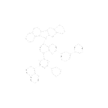 c1ccc(-c2cccc(-c3ccc4c(-n5c6cc7ccccc7cc6c6ccc7ccccc7c65)ccc(-c5nc(-c6ccccc6)nc(-c6cccc7ccccc67)n5)c4c3)c2)cc1